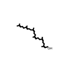 CC(C)=CCC/C(C)=C/CC/C(C)=C\CC/C(C)=C\CC/C(C)=C\CC/C(C)=C\CO